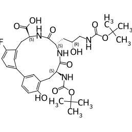 CC(C)(C)OC(=O)NC[C@H](O)C[C@@H]1NC(=O)[C@@H](NC(=O)OC(C)(C)C)Cc2cc(ccc2O)-c2ccc(F)c(c2)C[C@@H](C(=O)O)NC1=O